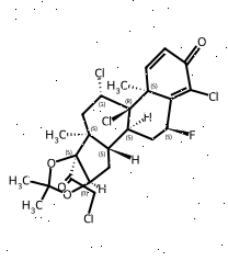 CC1(C)O[C@@H]2C[C@H]3[C@@H]4C[C@H](F)C5=C(Cl)C(=O)C=C[C@]5(C)[C@@]4(Cl)[C@@H](Cl)C[C@]3(C)[C@]2(C(=O)CCl)O1